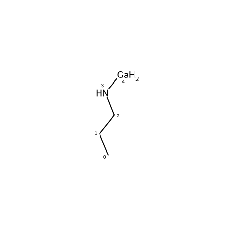 CCC[NH][GaH2]